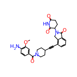 COc1cc(C(=O)N2CCC(C#Cc3cccc4c3CN(C3CCC(=O)NC3=O)C4=O)CC2)ccc1N